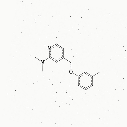 Cc1cccc(OCc2ccnc(N(C)C)c2)c1